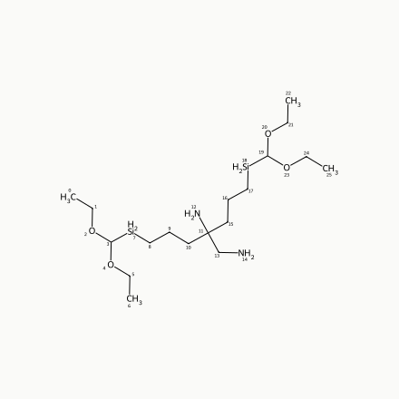 CCOC(OCC)[SiH2]CCCC(N)(CN)CCC[SiH2]C(OCC)OCC